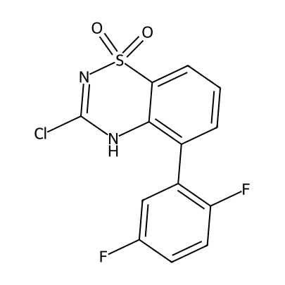 O=S1(=O)N=C(Cl)Nc2c(-c3cc(F)ccc3F)cccc21